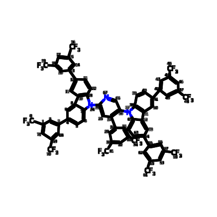 FC(F)(F)c1cc(-c2ccc3c(c2)c2cc(-c4cc(C(F)(F)F)cc(C(F)(F)F)c4)ccc2n3-c2cc(-c3cc(C(F)(F)F)cc(C(F)(F)F)c3)c(-n3c4ccc(-c5cc(C(F)(F)F)cc(C(F)(F)F)c5)cc4c4cc(-c5cc(C(F)(F)F)cc(C(F)(F)F)c5)ccc43)cn2)cc(C(F)(F)F)c1